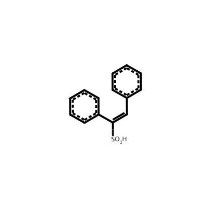 O=S(=O)(O)C(=Cc1ccccc1)c1cc[c]cc1